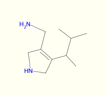 CC(C)C(C)C1=C(CN)CNC1